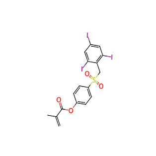 C=C(C)C(=O)Oc1ccc(S(=O)(=O)Cc2c(I)cc(I)cc2I)cc1